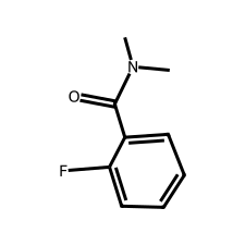 CN(C)C(=O)c1ccccc1F